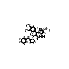 CC1=C(C(=O)N2CCCC2Cc2ccccc2)C(c2ccc(Cl)c(Cl)c2)n2nc(C(F)(F)F)cc2N1